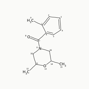 Cc1ccccc1C(=O)N1CC(C)OC(C)C1